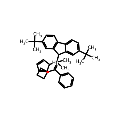 CC(C)(C)c1ccc2c(c1)[CH]([Hf]([CH3])([CH3])(=[C](c1ccccc1)C1CCC1)[CH]1C=CC=C1)c1cc(C(C)(C)C)ccc1-2